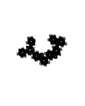 c1ccc(-c2nc(-c3ccccc3)nc(-c3ccc4c(c3)oc3c(-c5ccc6c(c5)oc5ccc(-n7c8ccccc8c8ccccc87)cc56)cccc34)n2)cc1